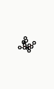 c1ccc(-c2ccc(-c3ccccc3N(c3ccc(-c4ccccc4)cc3)c3ccccc3-c3cccc4oc5c6ccccc6ccc5c34)cc2)cc1